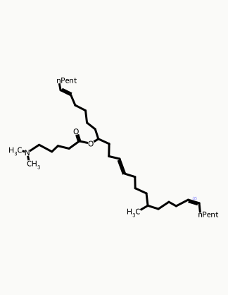 CCCCCC=CCCCCC(CCC=CCCCC(C)CCC/C=C\CCCCC)OC(=O)CCCCN(C)C